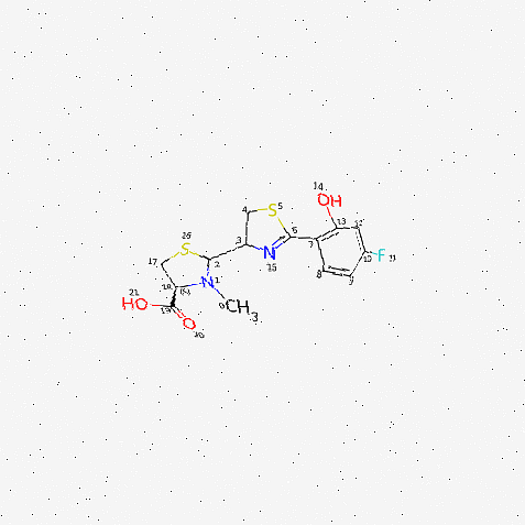 CN1C(C2CSC(c3ccc(F)cc3O)=N2)SC[C@@H]1C(=O)O